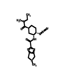 CCN(C)C(=O)[C@H]1CC[C@H](N=[N+]=[N-])[C@H](NC(=O)c2nc3c(s2)CN(C)C3)C1